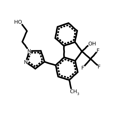 Cc1cc(-c2cnn(CCO)c2)c2c(c1)C(O)(C(F)(F)F)c1ccccc1-2